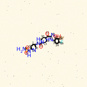 NS(=O)(=O)Nc1ccc(NC(=O)N2CCC(C(=O)/C(=N/O)Nc3ccc(F)c(Br)c3)CC2)cn1